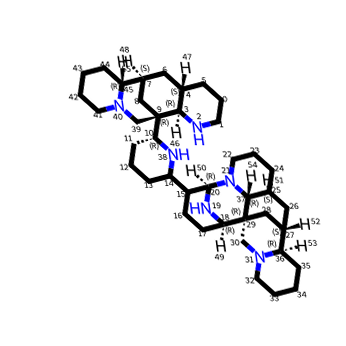 C1CN[C@@H]2[C@@H](C1)C[C@H]1C[C@]2([C@H]2CCCC(C3CC[C@H]4N[C@@H]3N3CCC[C@H]5C[C@H]6C[C@]4(CN4CCCC[C@H]64)[C@@H]53)N2)CN2CCCC[C@H]12